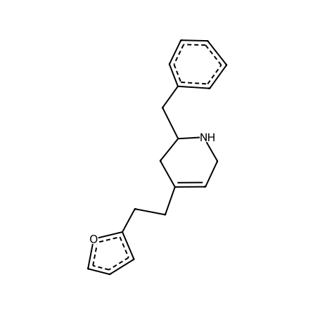 C1=C(CCc2ccco2)CC(Cc2ccccc2)NC1